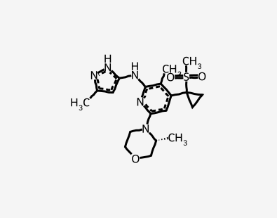 Cc1cc(Nc2nc(N3CCOC[C@H]3C)cc(C3(S(C)(=O)=O)CC3)c2C)[nH]n1